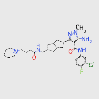 Cn1nc(C2CC3CC(CNC(=O)CCCN4CCCCC4)CC3C2)c(C(=O)Nc2ccc(F)c(Cl)c2)c1N